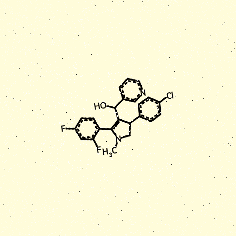 CN1CC(c2ccc(Cl)cc2)C(C(O)c2cccnc2)=C1c1ccc(F)cc1F